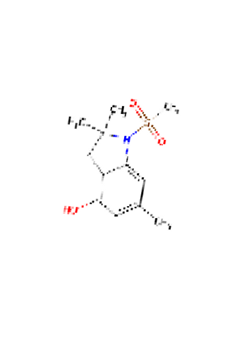 Cc1cc(O)c2c(c1)N(S(=O)(=O)C(F)(F)F)C(C)(C)C2